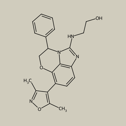 Cc1noc(C)c1-c1ccc2nc(NCCO)n3c2c1OCC3c1ccccc1